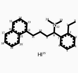 CCc1ccccc1C(CCCc1cccc2ccccc12)N(C)C.I